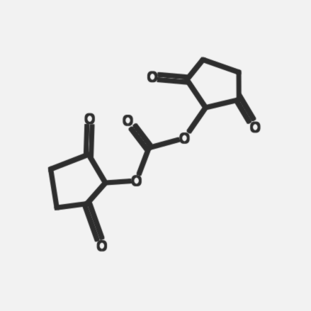 O=C(OC1C(=O)CCC1=O)OC1C(=O)CCC1=O